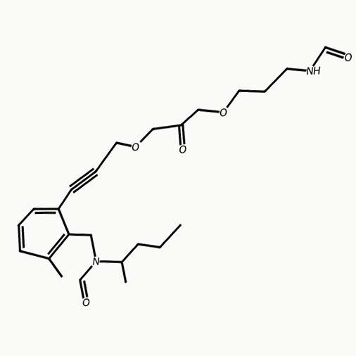 CCCC(C)N(C=O)Cc1c(C)cccc1C#CCOCC(=O)COCCCNC=O